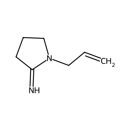 C=CCN1CCCC1=N